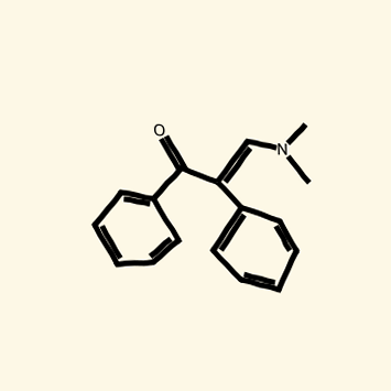 CN(C)/C=C(/C(=O)c1ccccc1)c1ccccc1